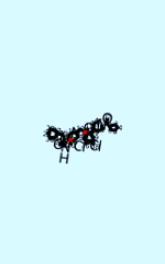 O=C(C1CCCC1)N1CCC(OCCN2CCC3(CC2)CNC(=O)N3Cc2ccccc2)(c2ccc(Cl)c(Cl)c2)CC1